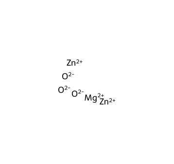 [Mg+2].[O-2].[O-2].[O-2].[Zn+2].[Zn+2]